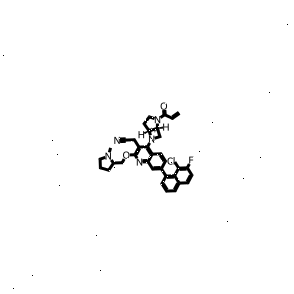 C=CC(=O)N1CC[C@@H]2[C@H]1CN2c1c(CC#N)c(OCC2CCCN2C)nc2cc(-c3cccc4ccc(F)c(Cl)c34)ccc12